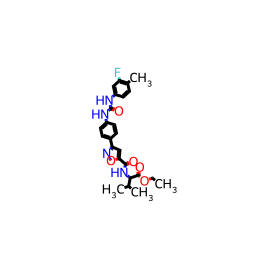 CCOC(=O)C(NC(=O)c1cc(-c2ccc(NC(=O)Nc3ccc(C)c(F)c3)cc2)no1)C(C)C